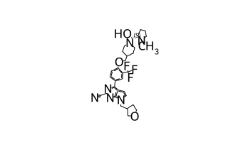 CN1CCC[C@H]1C(O)N1CCC(COc2ccc(-c3nc(C#N)nc4c3ccn4CC3CCOC3)cc2C(F)(F)F)CC1